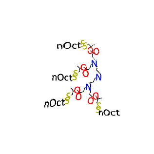 CCCCCCCCSSCC(C)OC(=O)CCN(CCCN(C)CCCN(CCC(=O)OC(C)CSSCCCCCCCC)CCC(=O)OC(C)CSSCCCCCCCC)CCC(=O)OC(C)CSSCCCCCCCC